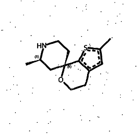 Cc1cc2c(s1)[C@]1(CCN[C@H](C)C1)OCC2